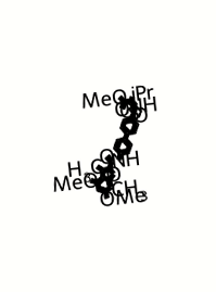 COC(=O)C(NS(=O)(=O)c1ccc(-c2ccc(NC(=O)c3oc4c(C)c(OC)cc(OC)c4c3C)cc2)cc1)C(C)C